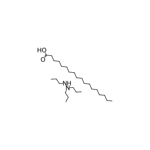 CCCCCCCCCCCCCCCCCC(=O)O.CCCNN(CCC)CCC